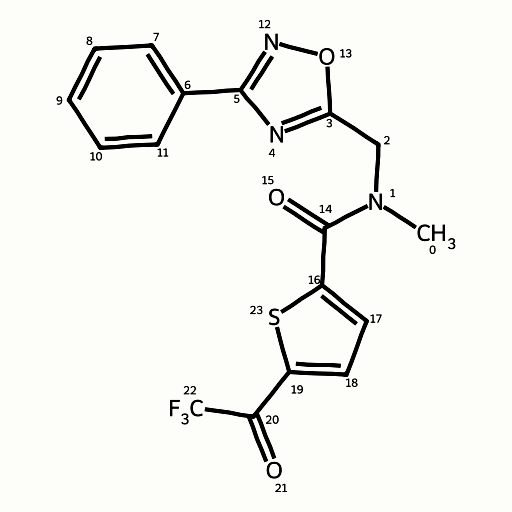 CN(Cc1nc(-c2ccccc2)no1)C(=O)c1ccc(C(=O)C(F)(F)F)s1